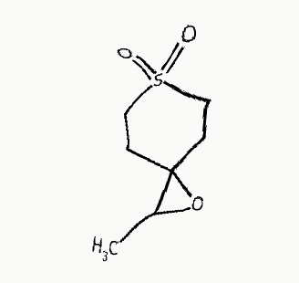 CC1OC12CCS(=O)(=O)CC2